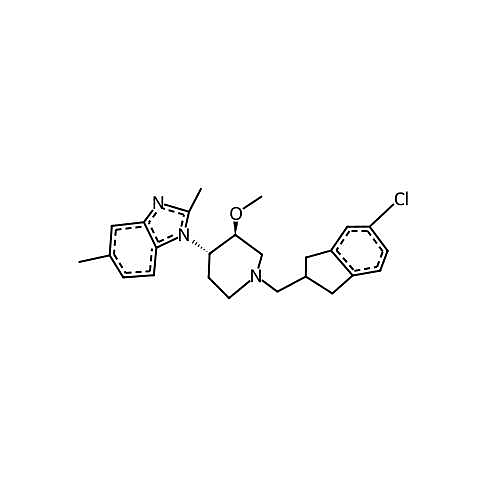 CO[C@H]1CN(CC2Cc3ccc(Cl)cc3C2)CC[C@@H]1n1c(C)nc2cc(C)ccc21